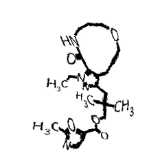 CCn1nc(CC(C)(C)COC(=O)c2cnc(C)o2)c2c1C(=O)NCCCOCCC2